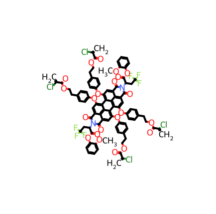 C=C(Cl)C(=O)OCCc1ccc(Oc2cc3c4c(cc(Oc5ccc(CCOC(=O)C(=C)Cl)cc5)c5c6c(Oc7ccc(CCOC(=O)C(=C)Cl)cc7)cc7c8c(cc(Oc9ccc(CCOC(=O)C(=C)Cl)cc9)c(c2c45)c86)C(=O)N(C(CC(F)(F)F)C(=O)Oc2ccccc2OC)C7=O)C(=O)N(C(CC(F)(F)F)C(=O)Oc2ccccc2OC)C3=O)cc1